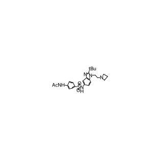 CC(=O)Nc1ccc(S(=O)(=O)Nc2ccc3c(c2)nc(C(C)(C)C)n3CCN2CCC2)cc1